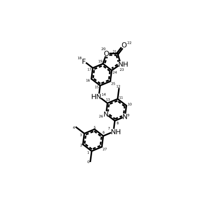 Cc1cc(C)cc(Nc2ncc(C)c(Nc3cc(F)c4oc(=O)[nH]c4c3)n2)c1